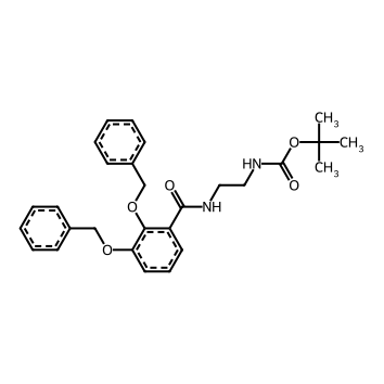 CC(C)(C)OC(=O)NCCNC(=O)c1cccc(OCc2ccccc2)c1OCc1ccccc1